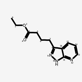 CCOC(=O)CCCc1n[nH]c2ncccc12